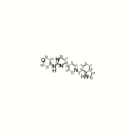 C1=CN(Cc2cccc3cc[nH]c23)CC=C1c1ccnc(NC2CCOCC2)n1